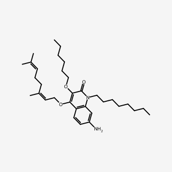 CCCCCCCCn1c(=O)c(OCCCCCC)c(OCC=C(C)CCC=C(C)C)c2ccc(N)cc21